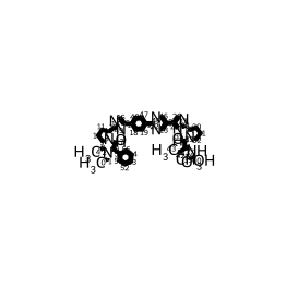 CCN(CC)[C@H](C(=O)N1CCCC1c1ncc(-c2ccc(-c3ncc(-c4cnc([C@@H]5CCCN5C(=O)[C@@H](NC(=O)O)C(C)C)[nH]4)cn3)cc2)[nH]1)c1ccccc1